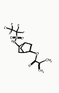 C=C(C)C(=O)OC1CC2CC1CC2NS(=O)(=O)C(F)(F)C(F)(F)C(F)(F)F